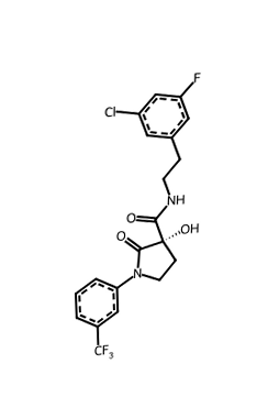 O=C(NCCc1cc(F)cc(Cl)c1)[C@@]1(O)CCN(c2cccc(C(F)(F)F)c2)C1=O